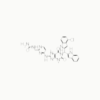 Cn1c(Nc2ccnc(CNC(N)=O)n2)nc2c1c(=O)n(C(c1cc3ccccc3[nH]1)c1cc3c(Cl)cccc3[nH]1)c(=O)n2C